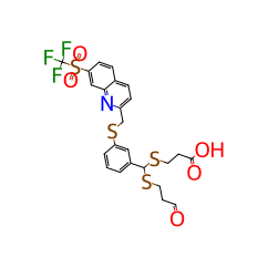 O=CCCSC(SCCC(=O)O)c1cccc(SCc2ccc3ccc(S(=O)(=O)C(F)(F)F)cc3n2)c1